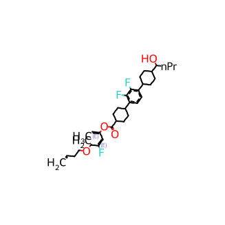 C=CCCOC(=C)/C(F)=C\C(=C/C)OC(=O)C1CCC(c2ccc(C3CCC(C(O)CCC)CC3)c(F)c2F)CC1